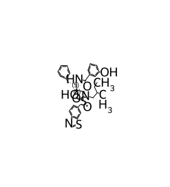 CCC(C)CN(C[C@@H](O)[C@H](Cc1ccccc1)NC(=O)c1cccc(O)c1)S(=O)(=O)c1ccc2ncsc2c1